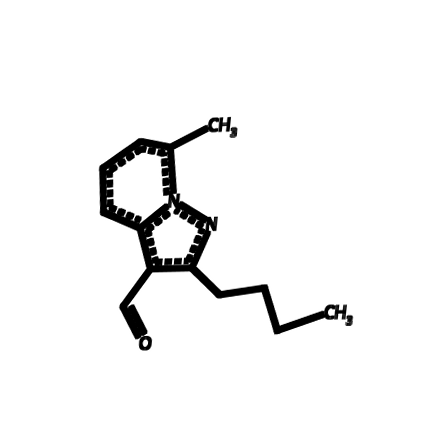 CCCCc1nn2c(C)cccc2c1C=O